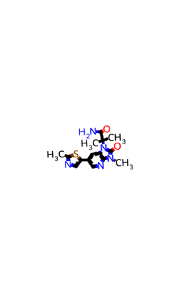 Cc1ncc(-c2cnc3c(c2)n(C(C)(C)C(N)=O)c(=O)n3C)s1